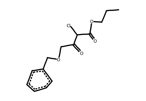 CCCOC(=O)C(Cl)C(=O)COCc1ccccc1